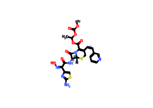 CCCOC(=O)OC(C)OC(=O)C1=C(/C=C\c2cccnc2)CS[C@@H]2[C@H](NC(=O)/C(=N\O)c3csc(N)n3)C(=O)N12